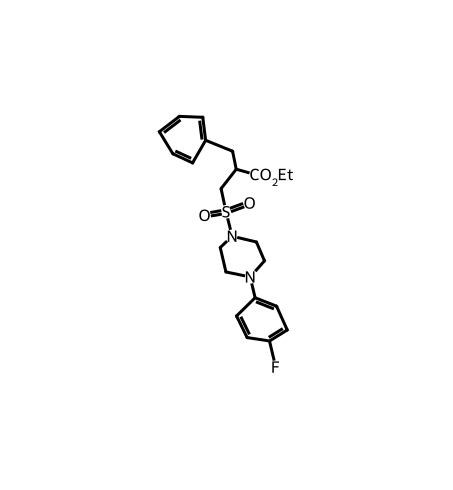 CCOC(=O)C(Cc1ccccc1)CS(=O)(=O)N1CCN(c2ccc(F)cc2)CC1